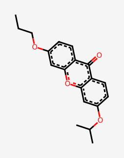 CCCOc1ccc2c(=O)c3ccc(OC(C)C)cc3oc2c1